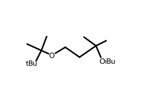 CC(C)COC(C)(C)CCOC(C)(C)C(C)(C)C